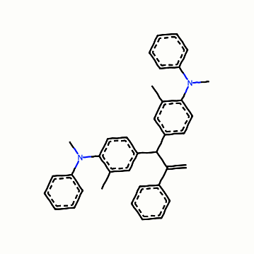 C=C(c1ccccc1)C(c1ccc(N(C)c2ccccc2)c(C)c1)c1ccc(N(C)c2ccccc2)c(C)c1